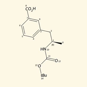 C[C@H](Cc1cccc(C(=O)O)c1)NC(=O)OC(C)(C)C